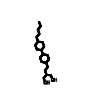 CCCCCC1CCC(C2CCC(CCC(CO)CO)CC2)CC1